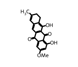 COc1cc(O)c2c(c1)C(=O)c1cc3c(c(O)c1C2=O)CCC(C)=C3